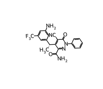 C[C@H](c1cc(N)cc(C(F)(F)F)c1)c1c(C(N)=O)nn(-c2ccccc2)c(=O)c1C#N